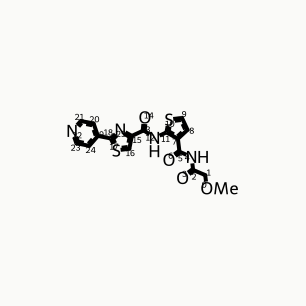 COCC(=O)NC(=O)c1ccsc1NC(=O)c1csc(-c2ccncc2)n1